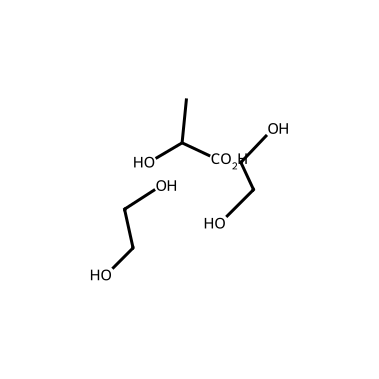 CC(O)C(=O)O.OCCO.OCCO